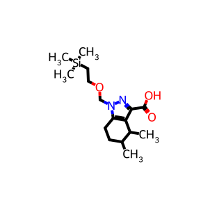 CC1CCc2c(c(C(=O)O)nn2COCC[Si](C)(C)C)C1C